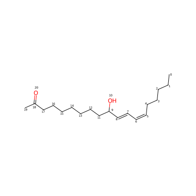 CCCCC/C=C\C=C\C(O)CCCCCCCC(C)=O